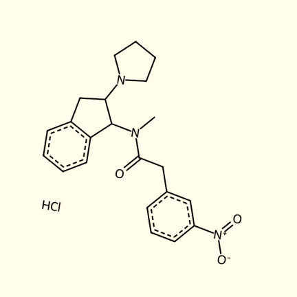 CN(C(=O)Cc1cccc([N+](=O)[O-])c1)C1c2ccccc2CC1N1CCCC1.Cl